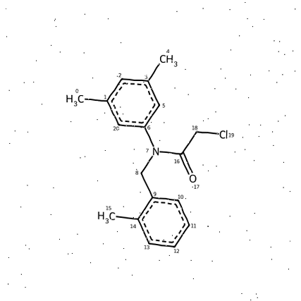 Cc1cc(C)cc(N(Cc2ccccc2C)C(=O)CCl)c1